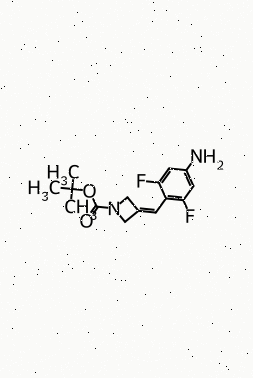 CC(C)(C)OC(=O)N1CC(=Cc2c(F)cc(N)cc2F)C1